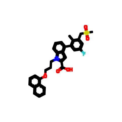 Cc1c(CS(C)(=O)=O)cc(F)cc1-c1cccc2c1cc(C(=O)O)n2CCCOc1cccc2ccccc12